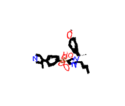 CCCCc1nc(=O)c(S(=O)(=O)c2ccc(-c3ccncc3C)cc2)c(O)n1[C@@H](C)c1ccc(OC)cc1